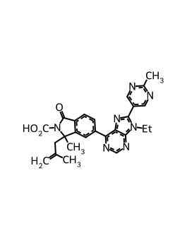 C=C(C)CC1(C)c2cc(-c3ncnc4c3nc(-c3cnc(C)nc3)n4CC)ccc2C(=O)N1C(=O)O